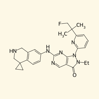 CCn1c(=O)c2cnc(Nc3ccc4c(c3)CNCC43CC3)nc2n1-c1cccc(C(C)(C)CF)n1